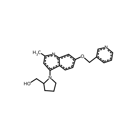 Cc1cc(N2CCCC2CO)c2ccc(OCc3cccnc3)cc2n1